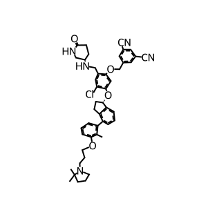 Cc1c(OCCCN2CCCC2(C)C)cccc1-c1cccc2c1CC[C@@H]2Oc1cc(OCc2cc(C#N)cc(C#N)c2)c(CN[C@H]2CCC(=O)NC2)cc1Cl